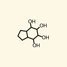 OC1C(O)C(O)C2CCCC2C1O